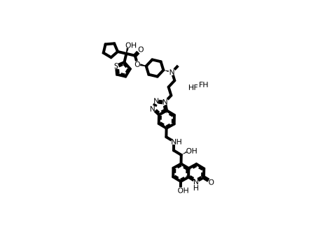 CN(CCCn1nnc2cc(CNC[C@H](O)c3ccc(O)c4[nH]c(=O)ccc34)ccc21)[C@H]1CC[C@H](OC(=O)[C@](O)(c2cccs2)C2CCCC2)CC1.F.F